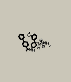 COc1cccc([C@]2(CNS(N)(=O)=O)CC[C@@H](NC(C)c3ccc(-c4ccccc4)cc3)CC2)c1